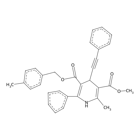 COC(=O)C1=C(C)NC(c2ccccc2)=C(C(=O)OCc2ccc(C)cc2)C1C#Cc1ccccc1